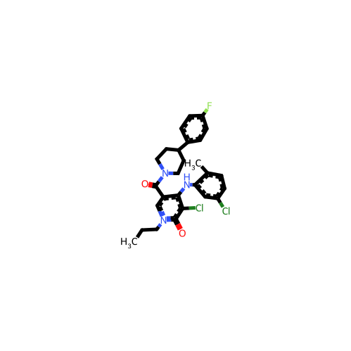 CCCn1cc(C(=O)N2CCC(c3ccc(F)cc3)CC2)c(Nc2cc(Cl)ccc2C)c(Cl)c1=O